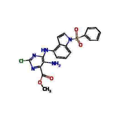 COC(=O)c1nc(Cl)nc(Nc2cccc3c2ccn3S(=O)(=O)c2ccccc2)c1N